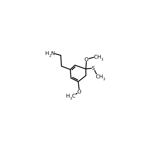 COC1=CC(CCN)=CC(OC)(SC)C1